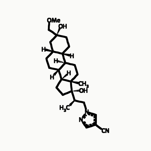 COC[C@@]1(O)CC[C@H]2[C@H](CC[C@@H]3[C@@H]2CC[C@@]2(C)[C@H]3CC[C@]2(O)[C@H](C)Cn2cc(C#N)cn2)C1